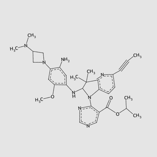 CC#Cc1ccc2c(n1)C(C)(C)C(Nc1cc(N)c(N3CC(N(C)C)C3)cc1OC)N2c1ncncc1C(=O)OC(C)C